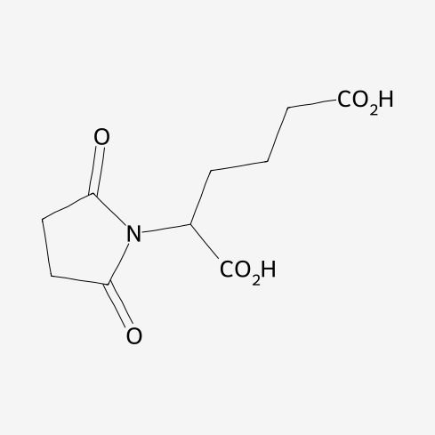 O=C(O)CCCC(C(=O)O)N1C(=O)CCC1=O